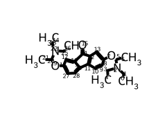 CCN(CC)C(C)Oc1ccc2c(c1)C(=O)c1cc(OC(C)N(CC)CC)ccc1-2